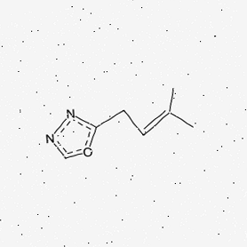 CC(C)=CCc1nnco1